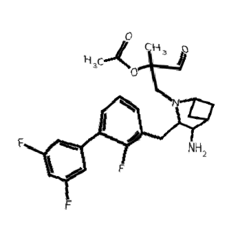 CC(=O)OC(C)(C=O)CN1C2CC(C2)C(N)C1Cc1cccc(-c2cc(F)cc(F)c2)c1F